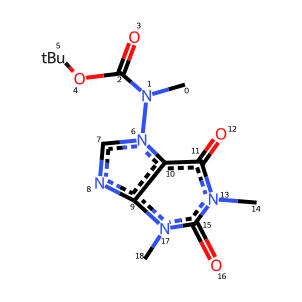 CN(C(=O)OC(C)(C)C)n1cnc2c1c(=O)n(C)c(=O)n2C